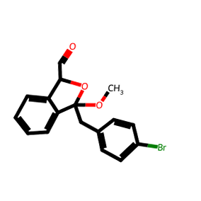 COC1(Cc2ccc(Br)cc2)OC(C=O)c2ccccc21